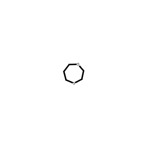 [CH]1COCCCS1